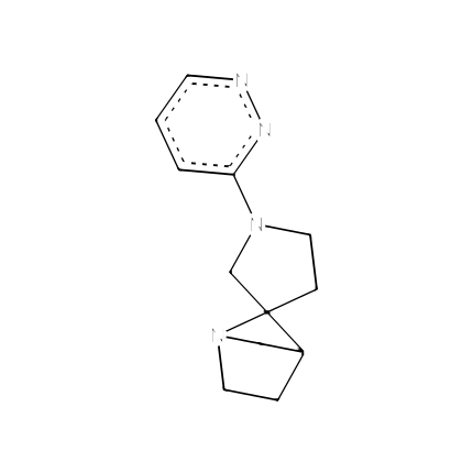 c1cnnc(N2CCC3(C2)C2CCN3CC2)c1